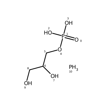 O=P(O)(O)OCC(O)CO.P